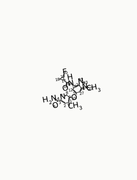 Cc1cc(C(N)=O)ncc1Oc1cc(NC(=O)C2C[C@H]2F)c2ncn(C)c2c1